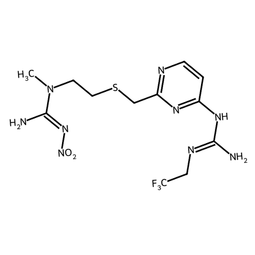 CN(CCSCc1nccc(NC(N)=NCC(F)(F)F)n1)C(N)=N[N+](=O)[O-]